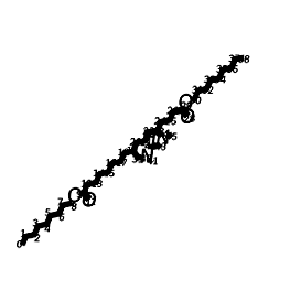 CCCCCCCCCOC(=O)CCCCCCCC(CCCCCCCC(=O)OCCCCCCCCC)CN(C)CCNC